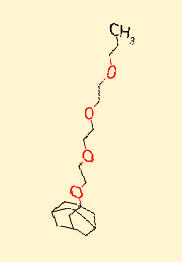 CCCOCCOCCOCCOC12CC3CC(CC(C3)C1)C2